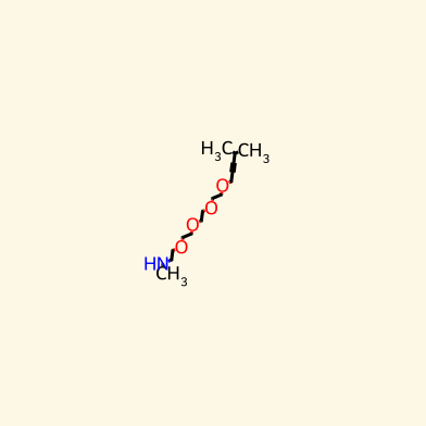 CNCCOCCOCCOCCOCC#CC(C)C